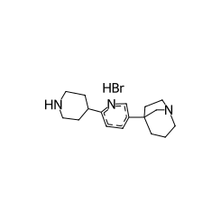 Br.c1cc(C2CCNCC2)ncc1C12CCCN(CC1)C2